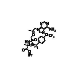 CC(C)OC(=O)C(C)(C)NP(=O)(CO[C@@H](C)Cn1cnc2c(N)ncnc21)N[C@H](C)c1ccc(OC(F)(F)F)cc1